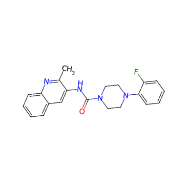 Cc1nc2ccccc2cc1NC(=O)N1CCN(c2ccccc2F)CC1